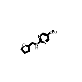 CC(C)(C)c1cnc(NCC2CCCO2)nc1